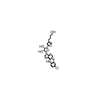 OCCCCc1cc([C@H]2O[C@@H](n3cnc4c(Nc5ccc(Cl)cc5F)ncnc43)[C@H](O)[C@@H]2O)on1